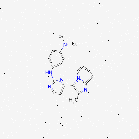 CCN(CC)c1ccc(Nc2nccc(-c3c(C)nc4ccccn34)n2)cc1